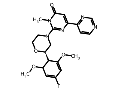 COC1=CC(F)=CC(OC)C1[C@@H]1CN(c2nc(-c3ccncn3)cc(=O)n2C)CCO1